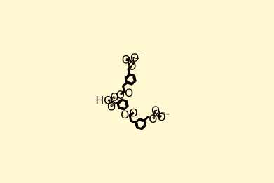 O=C(Cc1cccc(CO[N+](=O)[O-])c1)Oc1ccc(OC(=O)Cc2cccc(CO[N+](=O)[O-])c2)c(S(=O)(=O)O)c1